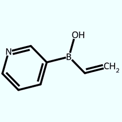 C=CB(O)c1cccnc1